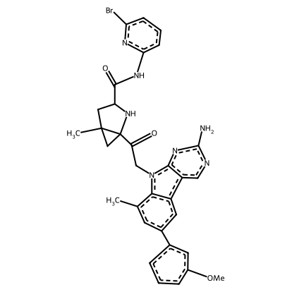 COc1cccc(-c2cc(C)c3c(c2)c2cnc(N)nc2n3CC(=O)C23CC2(C)CC(C(=O)Nc2cccc(Br)n2)N3)c1